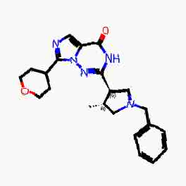 C[C@H]1CN(Cc2ccccc2)C[C@@H]1c1nn2c(C3CCOCC3)ncc2c(=O)[nH]1